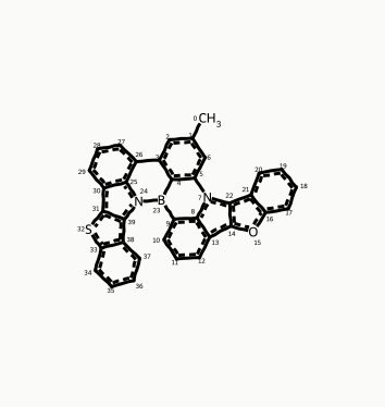 Cc1cc2c3c(c1)-n1c4c(cccc4c4oc5ccccc5c41)B3n1c3c-2cccc3c2sc3ccccc3c21